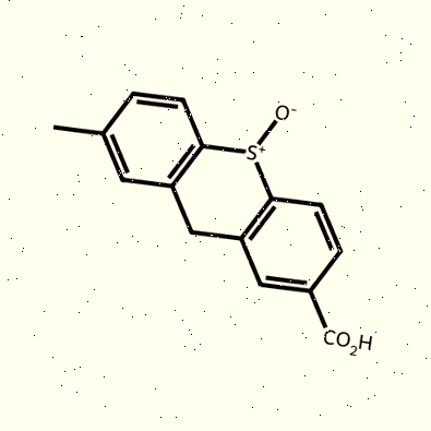 Cc1ccc2c(c1)Cc1cc(C(=O)O)ccc1[S+]2[O-]